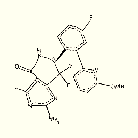 COc1cccc(-c2cc(F)ccc2[C@@H]2NC(=O)c3c(C)nc(N)nc3C2(F)F)n1